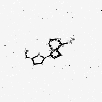 OC[C@@H]1CC[C@H](c2ccc3c(NO)ncnn23)O1